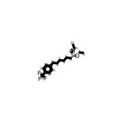 CCO[SiH](CCCCCCc1ccc(C(F)(F)F)cc1)OCC